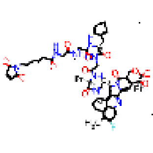 CC[C@@]1(O)C(=O)OCc2c1cc1n(c2=O)Cc2c-1nc1cc(F)c(C)c3c1c2[C@@H](N(C)C(=O)[C@@H](NC(=O)CNC(=O)[C@H](Cc1ccccc1)NC(=O)CNC(=O)CNC(=O)CCCCCN1C(=O)C=CC1=O)C(C)C)CC3